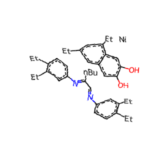 CCCCC(C=Nc1ccc(CC)c(CC)c1)=Nc1ccc(CC)c(CC)c1.CCc1cc(CC)c2cc(O)c(O)cc2c1.[Ni]